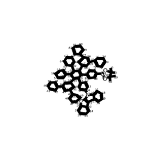 CC1(C)OB(c2ccc(-c3c(-c4ccc(-n5c6ccccc6c6c7ccccc7oc65)cc4)c(-c4cc(-c5ccccc5)cc(-c5ccccc5)c4)c(-c4ccccc4)c(-c4ccccc4)c3-c3cc(-c4ccccc4)cc(-c4ccccc4)c3)cc2)OC1(C)C